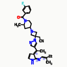 CC/C(C)=C/N=C1/NC=C/C1=C(/C)c1cnn(C2(CC#N)CN(C3CCN(C(=O)c4cccc(F)c4)C(C)C3)C2)c1